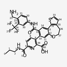 CCCNC(=O)c1ccc(-c2cc3c(cc2C(=O)Nc2ccc(CN)c(C(F)(F)F)c2)-c2sccc2CCO3)c(C(=O)O)n1